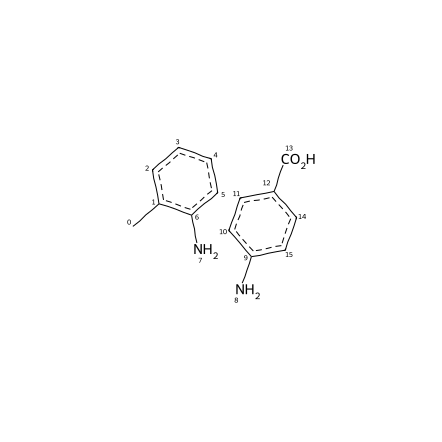 Cc1ccccc1N.Nc1ccc(C(=O)O)cc1